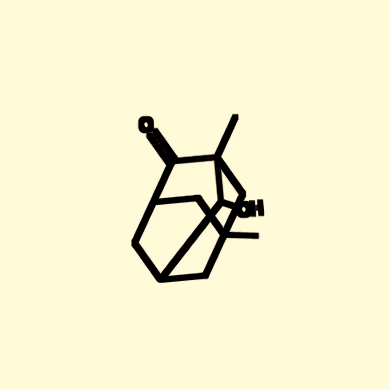 CC12CC3CC(C1)C(O)C(C)(C2)C3=O